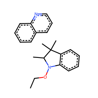 CCON1c2ccccc2C(C)(C)C1C.c1ccc2ncccc2c1